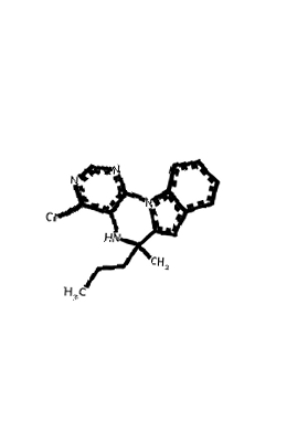 CCCC1(C)Nc2c(Cl)ncnc2-n2c1cc1ccccc12